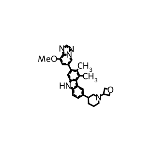 COc1cc(-c2cc3[nH]c4ccc(C5CCCN(C6COC6)C5)cc4c3c(C)c2C)cn2ncnc12